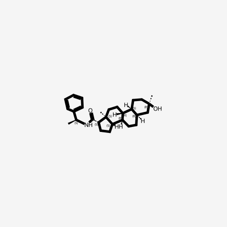 C[C@H](NC(=O)[C@H]1CC[C@H]2[C@@H]3CC[C@@H]4C[C@](C)(O)CC[C@@H]4[C@H]3CC[C@]12C)c1ccccc1